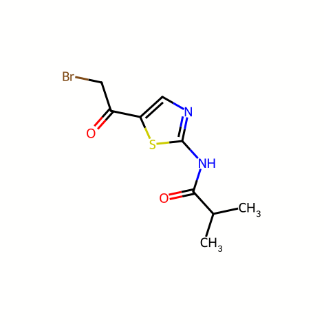 CC(C)C(=O)Nc1ncc(C(=O)CBr)s1